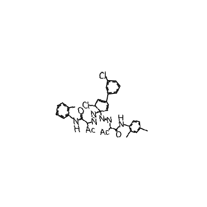 CC(=O)C(N=NC1(N=NC(C(C)=O)C(=O)Nc2ccc(C)cc2C)C=CC(c2cccc(Cl)c2)=CC1Cl)C(=O)Nc1ccccc1C